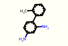 Cc1ccccc1-c1ccc(N)cc1N